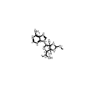 COC1O[C@H]2[C@@H](O1)[C@H](n1cnc3c(N)ncnc31)O[C@@H]2[C@H](C)O